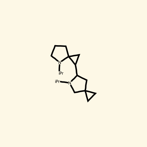 CC(C)N1CC2(CC2)CC1C1CC12CCCN2C(C)C